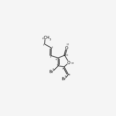 CCC=CC1=C(Br)C(=CBr)OC1=O